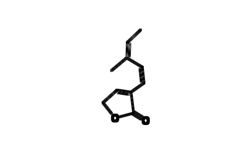 C/C=C(C)\C=C/C1=CCOC1=O